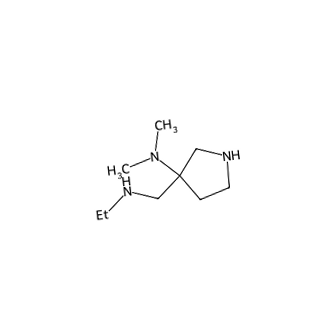 CCNCC1(N(C)C)CCNC1